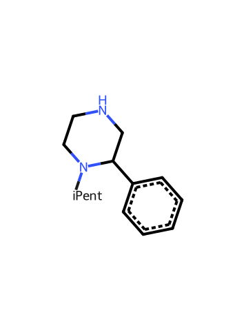 CCCC(C)N1CCNCC1c1ccccc1